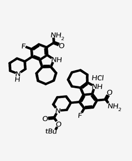 CC(C)(C)OC(=O)N1CCCC(c2c(F)cc(C(N)=O)c3[nH]c4c(c23)CCCCC4)C1.Cl.NC(=O)c1cc(F)c(C2CCCNC2)c2c3c([nH]c12)CCCCC3